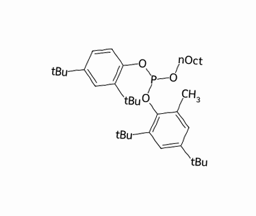 CCCCCCCCOP(Oc1ccc(C(C)(C)C)cc1C(C)(C)C)Oc1c(C)cc(C(C)(C)C)cc1C(C)(C)C